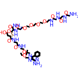 CCOCc1nc2c(N)nc3ccccc3c2n1CC(C)(C)OCCNC(=O)CCNC(=O)C(CC(=O)O)SCC(NC(=O)CCOCCOCCOCCOCCNC(=O)CNC(=O)CNC(=O)CN)C(N)=O